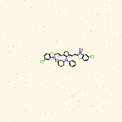 CCN1/C(=C/C=C2\CCC(/C=C/C3Sc4ccc(Cl)cc4N3CC)=C2N(c2ccccc2)C2CC=CCC2)Sc2ccc(Cl)cc21